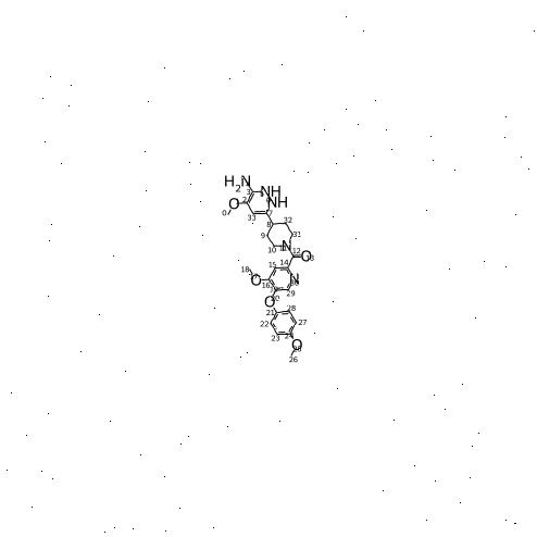 COC1=C(N)NNC(C2CCN(C(=O)c3cc(OC)c(Oc4ccc(OC)cc4)cn3)CC2)=C1